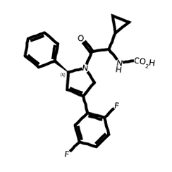 O=C(O)NC(C(=O)N1CC(c2cc(F)ccc2F)=C[C@H]1c1ccccc1)C1CC1